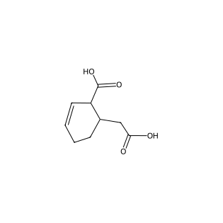 O=C(O)CC1CCC=CC1C(=O)O